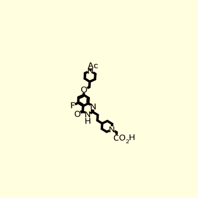 CC(=O)N1CCC(COc2cc(F)c3c(=O)[nH]c(CCC4CCN(CC(=O)O)CC4)nc3c2)CC1